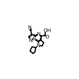 N#Cc1cnn2c3c(c(C(=O)O)nc12)CCN3C1CCCC1